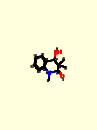 CN1C(=O)C(C)(C)C(O)c2ccccc21